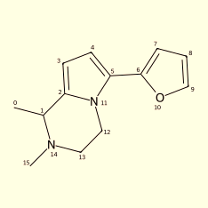 CC1c2ccc(-c3ccco3)n2CCN1C